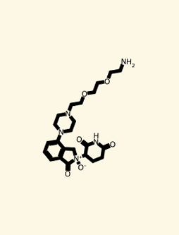 NCCOCCOCCN1CCN(c2cccc3c2C[N+]([O-])(C2CCC(=O)NC2=O)C3=O)CC1